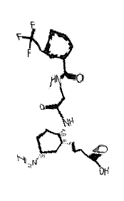 N[C@@H]1CC[C@H](NC(=O)CNC(=O)c2cccc(C(F)(F)F)c2)[C@H](CCC(=O)O)C1